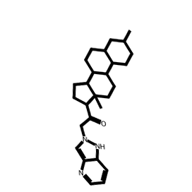 CC1CCC2C(CCC3C2CCC2(C)C(C(=O)CN4C=C5N=CC=CC5N4)CCC32)C1